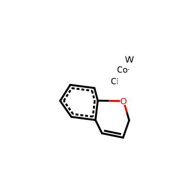 C1=Cc2ccccc2OC1.[C].[Co].[W]